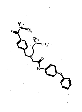 CN(C)CCN(CC(=O)Nc1ccc(Oc2ccccc2)cc1)Cc1ccc(C(=O)N(C)C)cc1